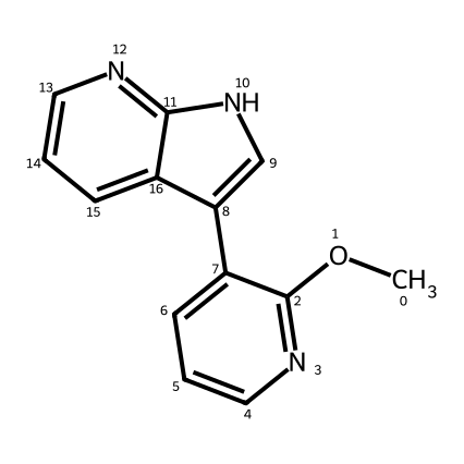 COc1ncccc1-c1c[nH]c2ncccc12